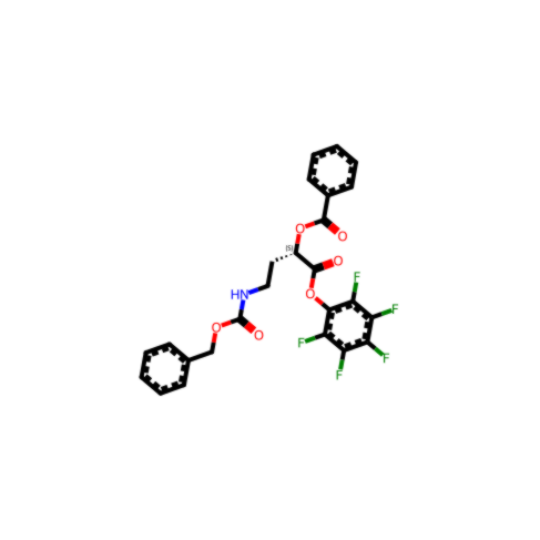 O=C(NCC[C@H](OC(=O)c1ccccc1)C(=O)Oc1c(F)c(F)c(F)c(F)c1F)OCc1ccccc1